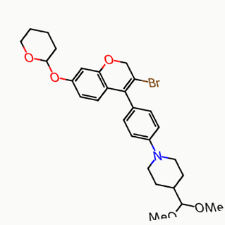 COC(OC)C1CCN(c2ccc(C3=C(Br)COc4cc(OC5CCCCO5)ccc43)cc2)CC1